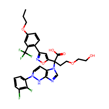 CCCOc1ccc(-c2cc(C(CCOCCO)(C(=O)O)n3cnc4c3C=CN(c3cccc(F)c3F)N4)on2)c(C(F)(F)F)c1